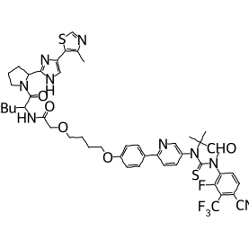 Cc1ncsc1-c1c[nH]c(C2CCCN2C(=O)C(NC(=O)COCCCCOc2ccc(-c3ccc(N(C(=S)N(C)c4ccc(C#N)c(C(F)(F)F)c4F)C(C)(C)C=O)cn3)cc2)C(C)(C)C)n1